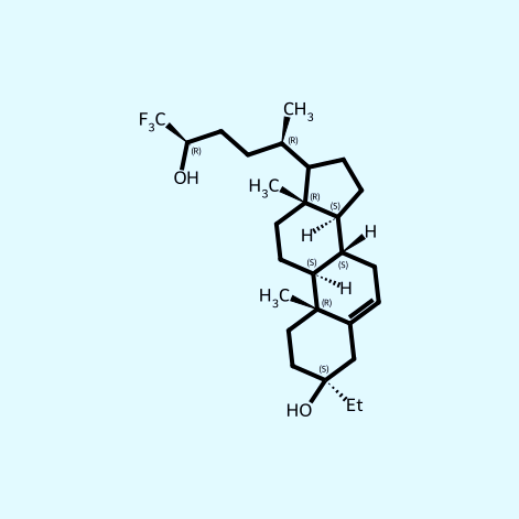 CC[C@]1(O)CC[C@@]2(C)C(=CC[C@@H]3[C@@H]2CC[C@]2(C)C([C@H](C)CC[C@@H](O)C(F)(F)F)CC[C@@H]32)C1